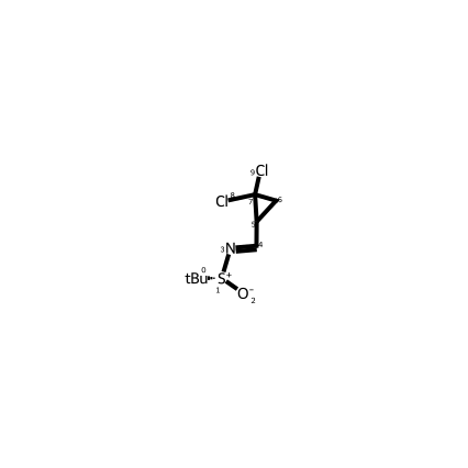 CC(C)(C)[S@@+]([O-])/N=C/C1CC1(Cl)Cl